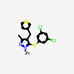 Cc1nn(C(C)C)c(Sc2cc(Cl)cc(Cl)c2)c1Cc1ccsc1